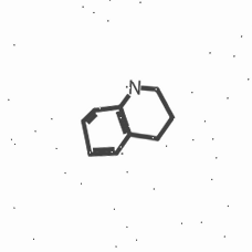 [c]1cccc2c1CCC[N]2